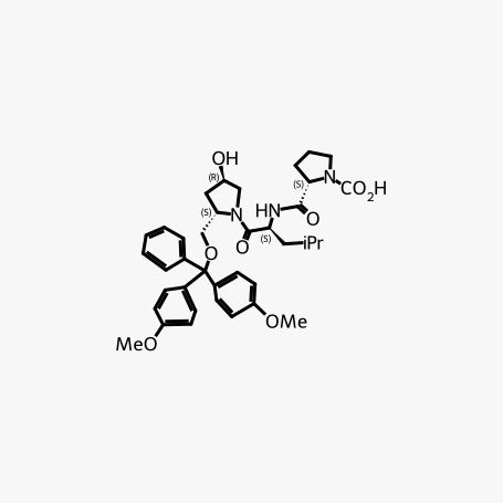 COc1ccc(C(OC[C@@H]2C[C@@H](O)CN2C(=O)[C@H](CC(C)C)NC(=O)[C@@H]2CCCN2C(=O)O)(c2ccccc2)c2ccc(OC)cc2)cc1